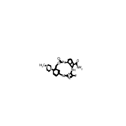 CN1CCN(c2ccc3cc2COC(=O)NC2CC4CC2C(Nc2nc(ncc2F)N3)C4C(N)=O)CC1